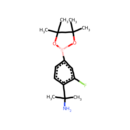 CC(C)(N)c1ccc(B2OC(C)(C)C(C)(C)O2)cc1F